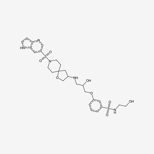 O=S(=O)(NCCO)c1cccc(OCC(O)CNC2COC3(CCN(S(=O)(=O)c4cnc5cc[nH]c5c4)CC3)C2)c1